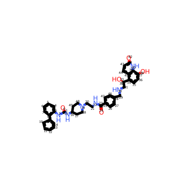 O=C(Nc1ccccc1-c1ccccc1)NC1CCN(CCNC(=O)c2ccc(CNC[C@@H](O)c3ccc(O)c4[nH]c(=O)ccc34)cc2)CC1